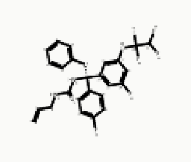 C=CCNC(=O)N[C@](Cc1ccccc1)(c1ccc(F)cc1)c1cc(F)cc(OC(F)(F)C(F)F)c1